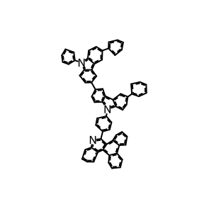 c1ccc(-c2ccc3c(c2)c2cc(-c4ccc5c(c4)c4cc(-c6ccccc6)ccc4n5-c4ccc(-c5nc6ccccc6c6c7ccccc7c7ccccc7c56)cc4)ccc2n3-c2ccccc2)cc1